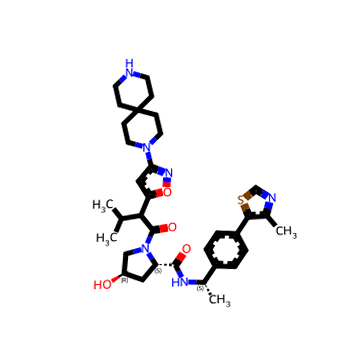 Cc1ncsc1-c1ccc([C@H](C)NC(=O)[C@@H]2C[C@@H](O)CN2C(=O)C(c2cc(N3CCC4(CCNCC4)CC3)no2)C(C)C)cc1